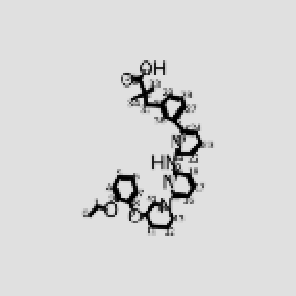 CCOc1ccccc1OC1CCCN(c2cccc(Nc3cccc(-c4cccc(CC(C)(C)C(=O)O)c4)n3)n2)C1